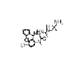 CN1C(=O)C(NC(=S)NCC(C)(C)CN)N=C(c2ccccc2Cl)c2cc(Cl)ccc21